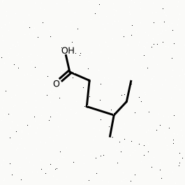 [CH2]C(CC)CCC(=O)O